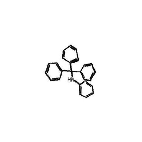 c1ccc(C(Nc2ccccn2)(c2ccccc2)c2ccccc2)cc1